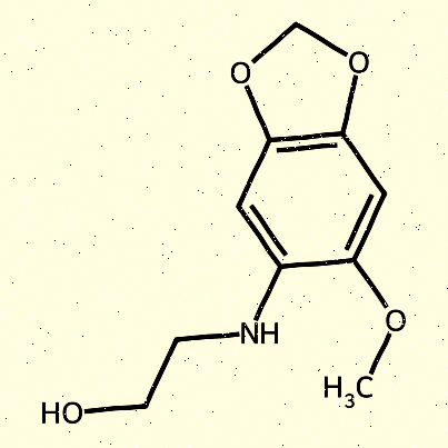 COc1cc2c(cc1NCCO)OCO2